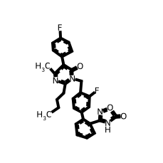 CCCCc1nc(C)c(-c2ccc(F)cc2)c(=O)n1Cc1ccc(-c2ccccc2-c2noc(=O)[nH]2)cc1F